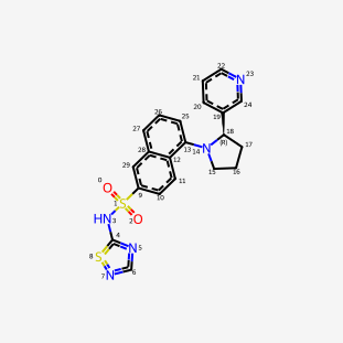 O=S(=O)(Nc1ncns1)c1ccc2c(N3CCC[C@@H]3c3cccnc3)cccc2c1